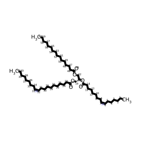 CCCCCC/C=C\CCCCCCCC(=O)O[C@H](COC(=O)CCCCCCCCC/C=C\CCCCCCCC)COC(=O)CCCCCCCCCCCCCCC